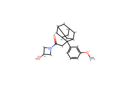 COc1cccc(C2(CC(=O)N3CC(O)C3)C3CC4CC(C3)CC2C4)c1